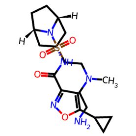 CN(CCN)CCS(=O)(=O)N1[C@@H]2CC[C@H]1C[C@@H](NC(=O)c1cc(C3CC3)on1)C2